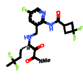 CNC(=O)C(=O)[C@H](CCC(C)(F)F)NCc1cc(F)cnc1NC(=O)C1CC(F)(F)C1